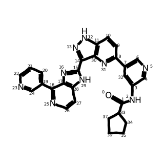 O=C(Nc1cncc(-c2ccc3[nH]nc(-c4nc5c(-c6cccnc6)nccc5[nH]4)c3n2)c1)C1CCCC1